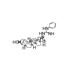 C[C@]12CC[C@H](O)C[C@H]1CC[C@@H]1[C@@H]2CC[C@]2(C)[C@@](O)(/C=N/NC(=N)Nc3ccccc3)CC[C@]12O